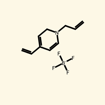 C=CCN1C=CC(C=C)=CC1.F[B-](F)(F)F